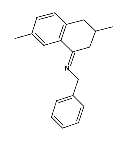 Cc1ccc2c(c1)C(=NCc1ccccc1)CC(C)C2